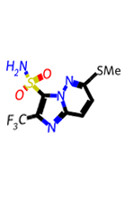 CSc1ccc2nc(C(F)(F)F)c(S(N)(=O)=O)n2n1